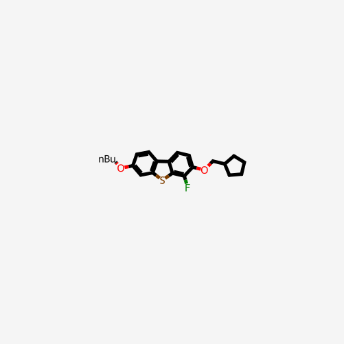 CCCCOc1ccc2c(c1)sc1c(F)c(OCC3CCCC3)ccc12